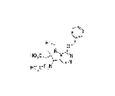 CC(C)CN1c2c(cnnc2OCc2ccccc2)C(N)C1(C)C(=CC(=O)O)C(=O)O